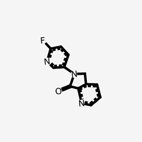 O=C1c2ncccc2CN1c1ccc(F)nc1